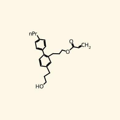 C=CC(=O)OCCCc1cc(CCCO)ccc1-c1ccc(CCC)cc1